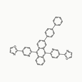 c1ccc(-c2ccc(-c3ccc4c(-c5ccc(-c6ncco6)cn5)c5ccccc5c(-c5ccc(-c6ncco6)cn5)c4c3)cc2)cc1